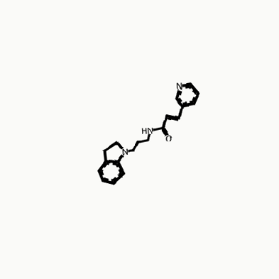 O=C(/C=C/c1cccnc1)NCCCN1CCc2ccccc21